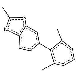 Cc1nc2ccc(-c3c(C)cccc3C)cc2s1